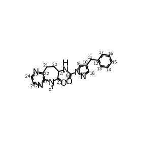 CN1C(=O)C(NC(=O)n2cc(Cc3ccccc3)cn2)CCc2nccnc21